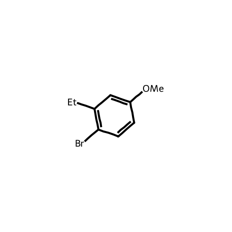 [CH2]Cc1cc(OC)ccc1Br